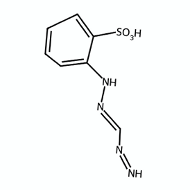 N=NC=NNc1ccccc1S(=O)(=O)O